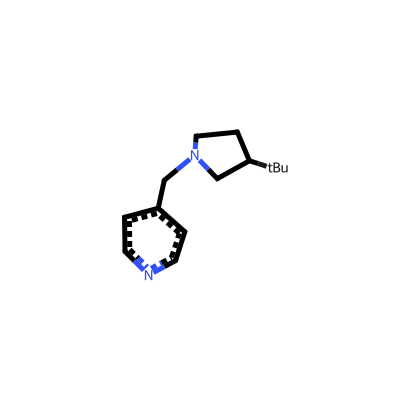 CC(C)(C)C1CCN(Cc2ccncc2)C1